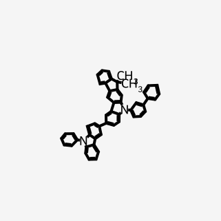 CC1(C)c2ccccc2-c2cc3c4cc(-c5ccc6c(c5)c5ccccc5n6-c5ccccc5)ccc4n(-c4cccc(-c5ccccc5)c4)c3cc21